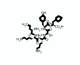 C=CC[C@H](N)C(=O)N[C@@H](CCCCN)C(=O)N[C@@H](CCCCN)C(=O)N[C@@H](CC)C(=O)N[C@@H](Cc1ccc(O)cc1)C(=O)N[C@@H](Cc1ccccc1)C(=O)O